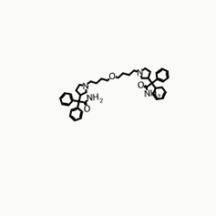 NC(=O)C(c1ccccc1)(c1ccccc1)C1CCN(CCCCOCCCCN2CCC(C(C(N)=O)(c3ccccc3)C3C=CC=CC3)C2)C1